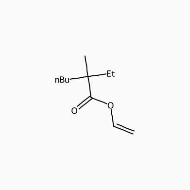 C=COC(=O)C(C)(CC)CCCC